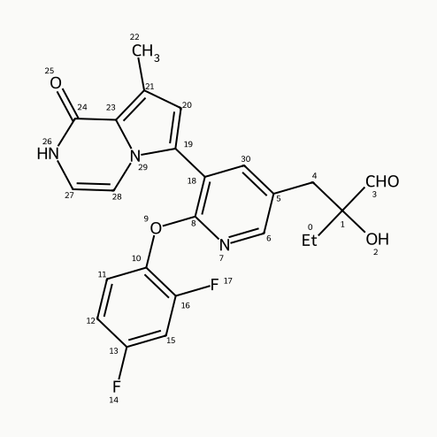 CCC(O)(C=O)Cc1cnc(Oc2ccc(F)cc2F)c(-c2cc(C)c3c(=O)[nH]ccn23)c1